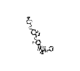 O=C(Nc1ccccc1)C1(C(=O)Nc2ccc(Oc3ccnc4cc(OC[C@H]5CCC6(CC6)O5)ccc34)c(F)c2)CC1